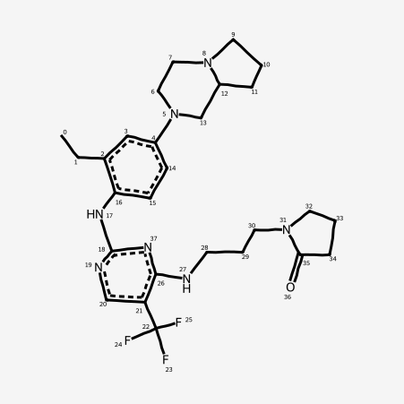 CCc1cc(N2CCN3CCCC3C2)ccc1Nc1ncc(C(F)(F)F)c(NCCCN2CCCC2=O)n1